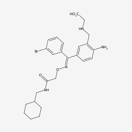 Nc1ccc(C(=NOCC(=O)NCC2CCCCC2)c2cccc(Br)c2)cc1CNCC(=O)O